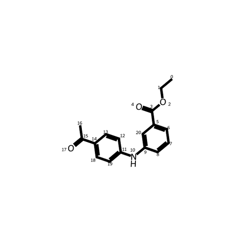 CCOC(=O)c1cccc(Nc2ccc(C(C)=O)cc2)c1